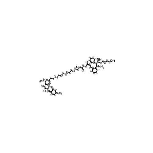 CC(C)[C@H](NC(=O)CCOCCOCCOCCOCCNC(=O)CCC(=O)N1Cc2ccccc2/C(N)=C(/N(N)CCOCCO)c2ccccc21)C(=O)N[C@@H](C)C(=O)Nc1ccc(O)cc1F